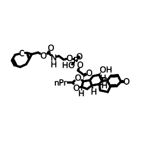 CCCC1O[C@@H]2C[C@@H]3C(C[C@H](O)[C@H]4[C@H]3CCC3=CC(=O)C=C[C@@]34C)[C@]2(C(=O)COP(=O)(O)OCCNC(=O)OCC2C3CCC#CCCC32)O1